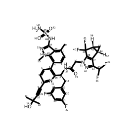 Cc1ccc(-c2ccc(C#CC(C)(C)O)nc2[C@H](Cc2cc(F)cc(F)c2)NC(=O)Cn2nc(C(F)F)c3c2C(F)(F)[C@@H]2C[C@H]32)c2c1c(NS(N)(=O)=O)nn2C